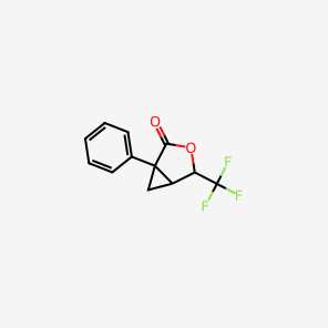 O=C1OC(C(F)(F)F)C2CC12c1ccccc1